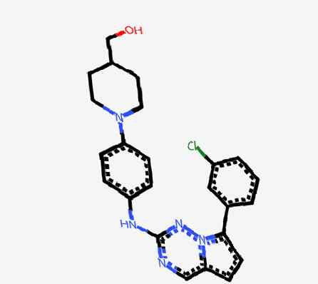 OCC1CCN(c2ccc(Nc3ncc4ccc(-c5cccc(Cl)c5)n4n3)cc2)CC1